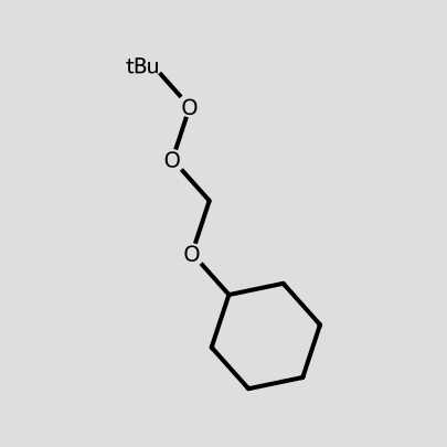 CC(C)(C)OOCOC1CCCCC1